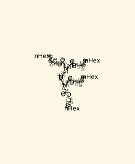 CCCCCCSSC(C)(C)CCOC(=O)CCN(CCCN(C)CCCN(CCC(=O)OCCC(C)(C)SSCCCCCC)CCC(=O)OCCC(C)(C)SSCCCCCC)CCC(=O)OCCC(C)(C)SSCCCCCC